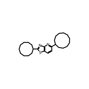 c1cc2sc(C3CCCCCCCCC3)nc2nc1C1CCCCCCCCCC1